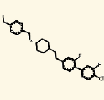 CCc1ccc(CC[C@H]2CC[C@H](CCc3ccc(-c4ccc(Cl)c(F)c4)c(F)c3)CC2)cc1